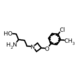 Cc1cc(OC2CN(CCC(N)CO)C2)ccc1Cl